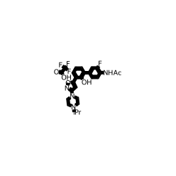 CC(=O)Nc1ccc(-c2cccc(-c3cc(N4CCN(C(C)C)CC4)no3)c2O)cc1F.O=C(O)C(F)(F)F